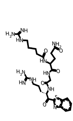 N=C(N)NCCCCC(=O)NC(CCC(N)=O)C(=O)NCC(=O)N[C@@H](CCCNC(=N)N)C(=O)c1nc2ccccc2s1